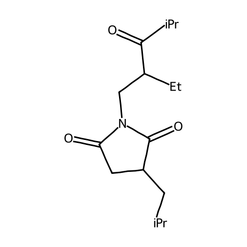 CCC(CN1C(=O)CC(CC(C)C)C1=O)C(=O)C(C)C